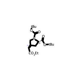 CCOC(=O)/C=C1\C[C@@H](C(=O)OC(C)(C)C)N(C(=O)OC(C)(C)C)C1